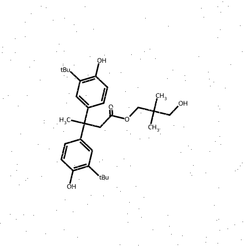 CC(C)(CO)COC(=O)CC(C)(c1ccc(O)c(C(C)(C)C)c1)c1ccc(O)c(C(C)(C)C)c1